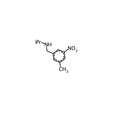 Cc1cc(CNC(C)C)cc([N+](=O)[O-])c1